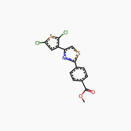 COC(=O)c1ccc(-c2nc(-c3cc(Cl)sc3Cl)cs2)cc1